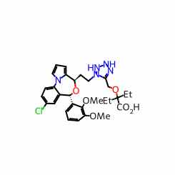 CCC(CC)(OCC1=NNNN1CC[C@H]1O[C@H](c2cccc(OC)c2OC)c2cc(Cl)ccc2-n2cccc21)C(=O)O